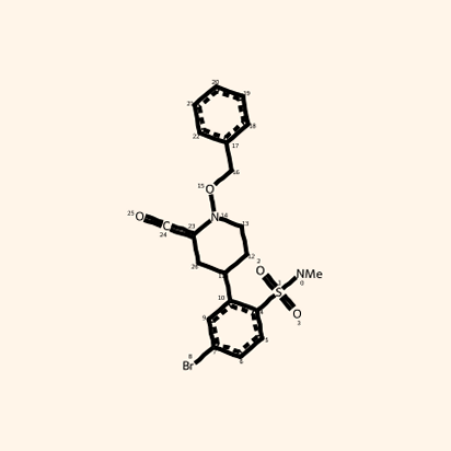 CNS(=O)(=O)c1ccc(Br)cc1C1CCN(OCc2ccccc2)C(=C=O)C1